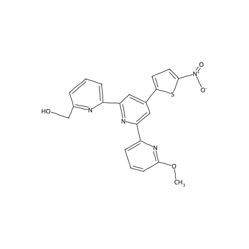 COc1cccc(-c2cc(-c3ccc([N+](=O)[O-])s3)cc(-c3cccc(CO)n3)n2)n1